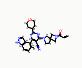 C=CC(=O)N1CC2(CCN(c3nc(C4CCOCC4)nc(-c4c(C)ccc5[nH]ncc45)c3C#N)C2)C1